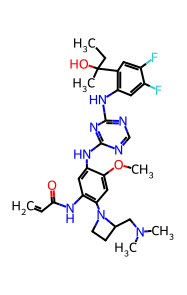 C=CC(=O)Nc1cc(Nc2ncnc(Nc3cc(F)c(F)cc3C(C)(O)CC)n2)c(OC)cc1N1CCC1CN(C)C